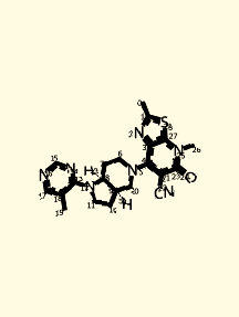 Cc1nc2c(N3CC[C@H]4[C@H](CCN4c4ncncc4C)C3)c(C#N)c(=O)n(C)c2s1